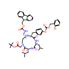 CC(C)C[C@@H]1NC(=O)[C@H](Cc2ccc(OC(=O)OCc3ccccc3Br)cc2)N[C@@H](CNC(=O)OCC2c3ccccc3-c3ccccc32)CCN(CC(=O)OC(C)(C)C)C(=O)[C@H](CC(C)C)NC1=O